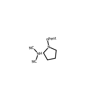 CCCCCN1CCCC1.N#CNC#N